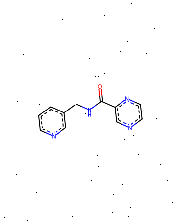 O=C(NCc1cccnc1)c1cnccn1